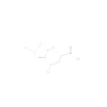 COC(=O)c1cc(Br)c2oc(C(C)(C)C)nc2c1